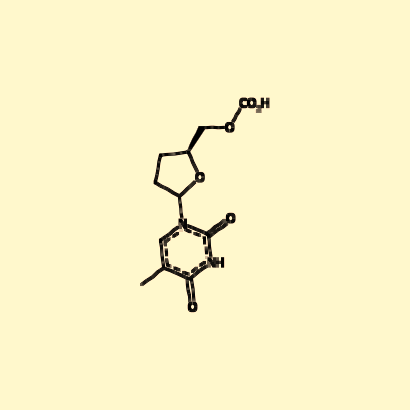 Cc1cn(C2CC[C@@H](COC(=O)O)O2)c(=O)[nH]c1=O